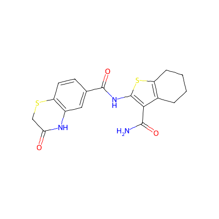 NC(=O)c1c(NC(=O)c2ccc3c(c2)NC(=O)CS3)sc2c1CCCC2